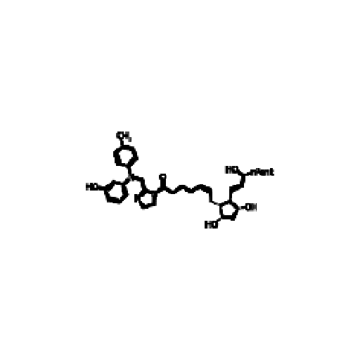 CCCCC[C@H](O)/C=C/[C@@H]1[C@@H](C/C=C\CCCC(=O)N2CCN=C2CN(c2ccc(C)cc2)c2cccc(O)c2)[C@@H](O)C[C@H]1O